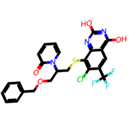 O=c1ccccn1C(COCc1ccccc1)CSc1c(Cl)c(C(F)(F)F)cc2c(O)nc(O)nc12